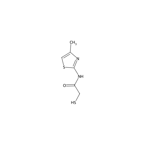 Cc1csc(NC(=O)CS)n1